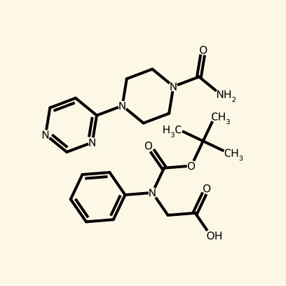 CC(C)(C)OC(=O)N(CC(=O)O)c1ccccc1.NC(=O)N1CCN(c2ccncn2)CC1